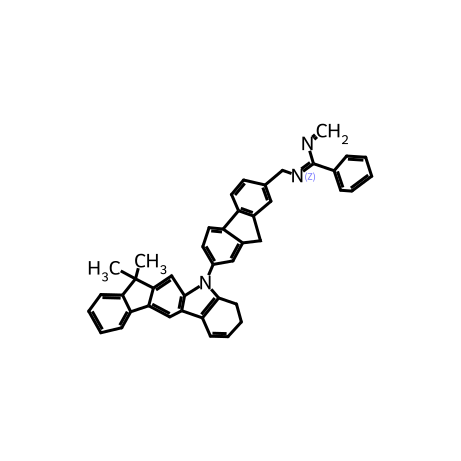 C=N/C(=N\Cc1ccc2c(c1)Cc1cc(-n3c4c(c5cc6c(cc53)C(C)(C)c3ccccc3-6)C=CCC4)ccc1-2)c1ccccc1